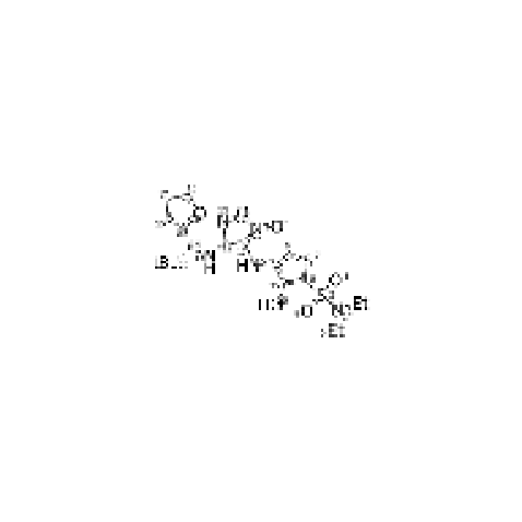 CCN(CC)S(=O)(=O)c1scc(Nc2c(N[C@@H](c3ccco3)C(C)(C)C)no[n+]2[O-])c1O